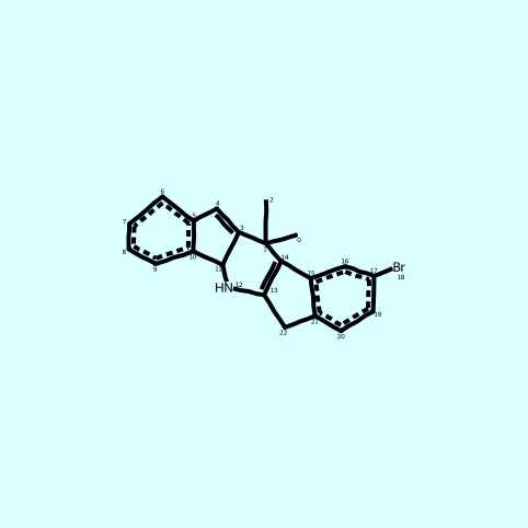 CC1(C)C2=Cc3ccccc3C2NC2=C1c1cc(Br)ccc1C2